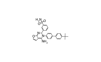 CC(C)(C)c1ccc(-c2ccc(N3C(N)=c4ccoc4=NC3c3cccc(S(N)(=O)=O)c3)cc2)cc1